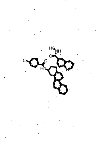 O=C(NC1CCc2ccc3c(ccc4ccccc43)c2C1)c1ccc(Cl)cc1.O=C(NO)c1ccc2ncccc2c1